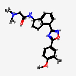 CC(C)Oc1ccc(-c2nc(-c3cccc4c3CC[C@H]4NC(=O)CN(C)C)no2)cc1C#N